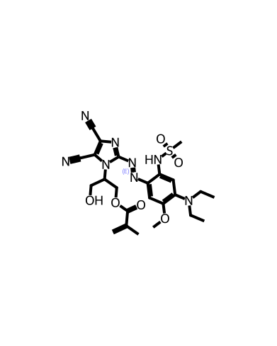 C=C(C)C(=O)OCC(CO)n1c(/N=N/c2cc(OC)c(N(CC)CC)cc2NS(C)(=O)=O)nc(C#N)c1C#N